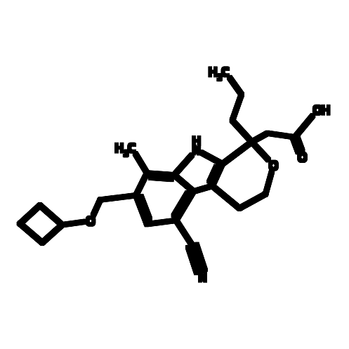 CCCC1(CC(=O)O)OCCc2c1[nH]c1c(C)c(COC3CCC3)cc(C#N)c21